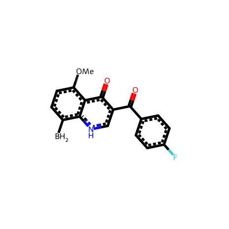 Bc1ccc(OC)c2c(=O)c(C(=O)c3ccc(F)cc3)c[nH]c12